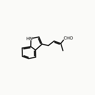 CC(C=O)=CCc1c[nH]c2ccccc12